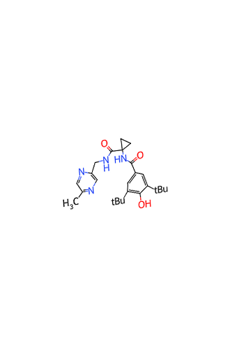 Cc1cnc(CNC(=O)C2(NC(=O)c3cc(C(C)(C)C)c(O)c(C(C)(C)C)c3)CC2)cn1